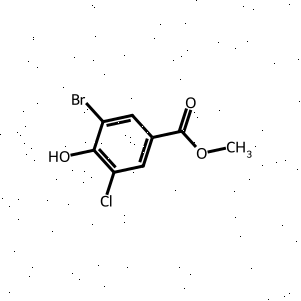 COC(=O)c1cc(Cl)c(O)c(Br)c1